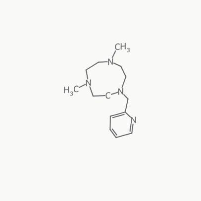 CN1CCN(C)CCN(Cc2ccccn2)CC1